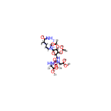 C=[N+](/C=C\C=C(/C)C(N)=O)[C@@H]1O[C@H](COP(=O)(N[C@@H](C)C(=O)OC)N[C@@H](C)C(=O)OC)[C@@H](OC(C)=O)[C@H]1OC(C)=O